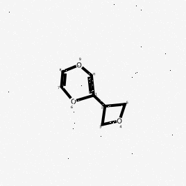 [C]1=C(C2COC2)OC=CO1